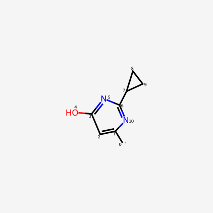 [CH2]c1cc(O)nc(C2CC2)n1